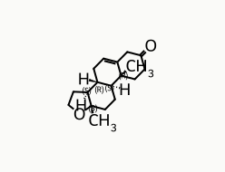 C[C@]12CCC(=O)CC1=CC[C@@H]1[C@@H]2CC[C@]2(C)OCC[C@@H]12